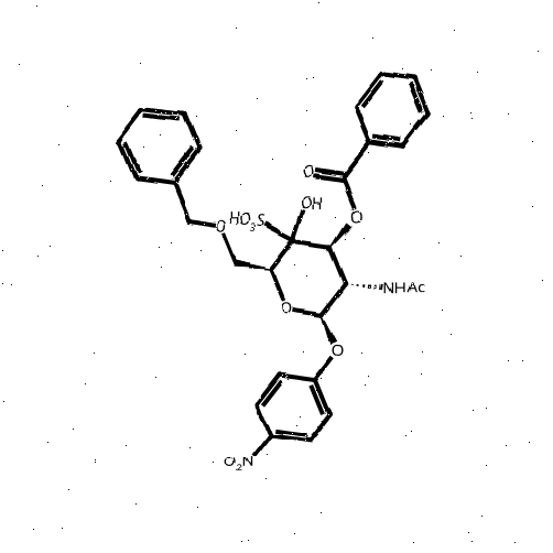 CC(=O)N[C@@H]1[C@@H](Oc2ccc([N+](=O)[O-])cc2)O[C@@H](COCc2ccccc2)C(O)(S(=O)(=O)O)[C@H]1OC(=O)c1ccccc1